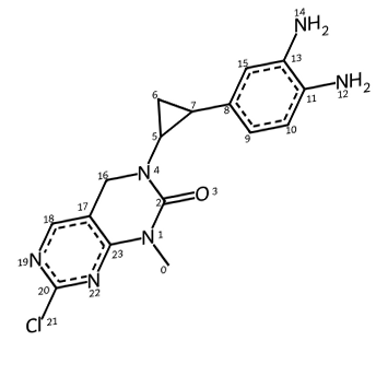 CN1C(=O)N(C2CC2c2ccc(N)c(N)c2)Cc2cnc(Cl)nc21